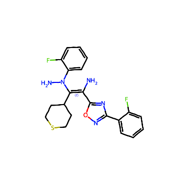 N/C(=C(/C1CCSCC1)N(N)c1ccccc1F)c1nc(-c2ccccc2F)no1